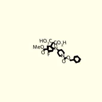 COC(=O)c1cc(C(C(=O)O)C(=O)O)c(NC2CCN(C(=O)OCc3ccccc3)CC2)cc1F